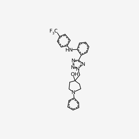 OC1(Cn2nnc(-c3ccccc3Nc3ccc(C(F)(F)F)cc3)n2)CCN(c2ccccc2)CC1